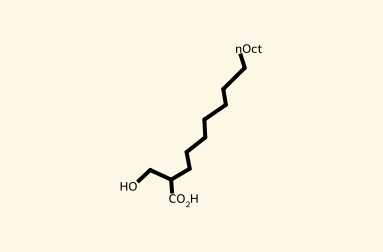 CCCCCCCCCCCCCCCC(CO)C(=O)O